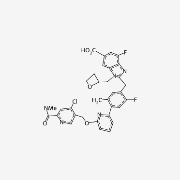 CNC(=O)c1cc(Cl)c(COc2cccc(-c3cc(F)c(Cc4nc5c(F)cc(C(=O)O)cc5n4CC4CCO4)cc3C)n2)cn1